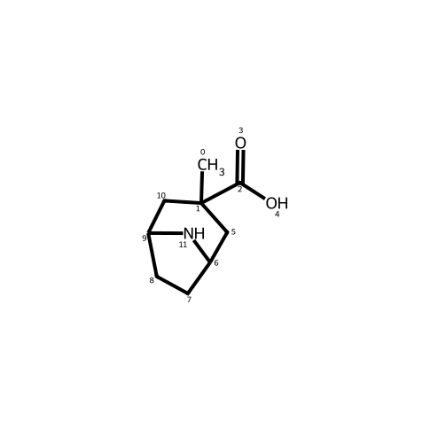 CC1(C(=O)O)CC2CCC(C1)N2